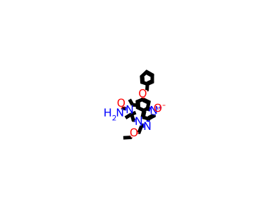 CCOCc1nc2c[n+]([O-])c3cc(OCc4ccccc4)ccc3c2n1CC(C)(C)N(C(N)=O)C(C)C